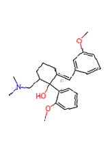 COc1cccc(/C=C2\CCCC(CN(C)C)C2(O)c2ccccc2OC)c1